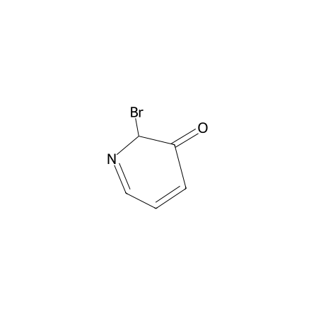 O=C1C=CC=NC1Br